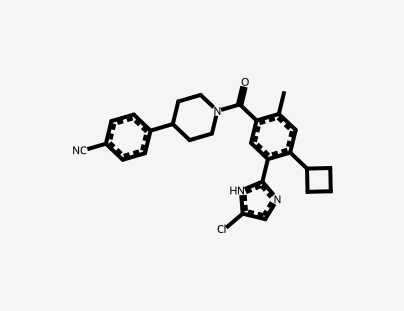 Cc1cc(C2CCC2)c(-c2ncc(Cl)[nH]2)cc1C(=O)N1CCC(c2ccc(C#N)cc2)CC1